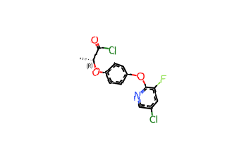 C[C@@H](Oc1ccc(Oc2ncc(Cl)cc2F)cc1)C(=O)Cl